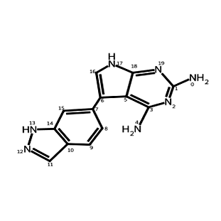 Nc1nc(N)c2c(-c3ccc4cn[nH]c4c3)c[nH]c2n1